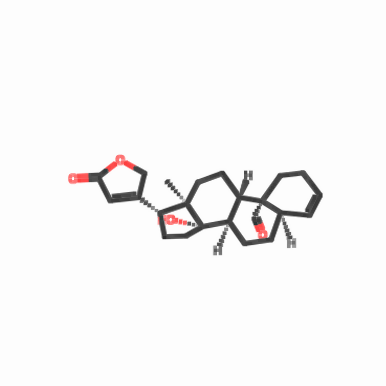 C[C@]12CC[C@H]3[C@@H](CC[C@@H]4C=CCC[C@@]43C=O)[C@@]1(O)CC[C@@H]2C1=CC(=O)OC1